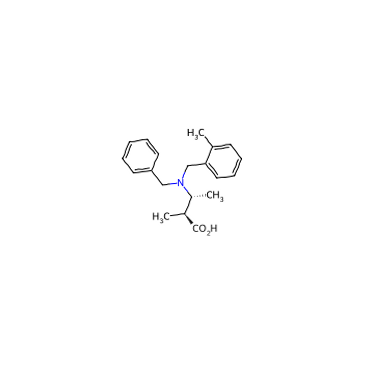 Cc1ccccc1CN(Cc1ccccc1)[C@H](C)[C@H](C)C(=O)O